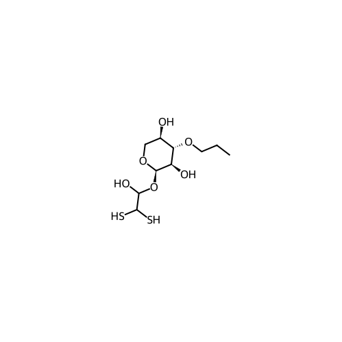 CCCO[C@@H]1[C@@H](O)[C@@H](OC(O)C(S)S)OC[C@H]1O